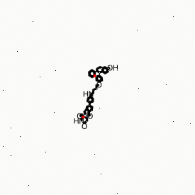 O=C[C@]1(N2Cc3cc(-c4ccc(NCCCCOc5ccc([C@@H]6c7ccc(O)cc7CC[C@@H]6c6ccccc6)cc5)cc4)ccc3C2=O)CCC(=O)NC1